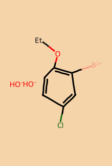 [B+2]c1cc(Cl)ccc1OCC.[OH-].[OH-]